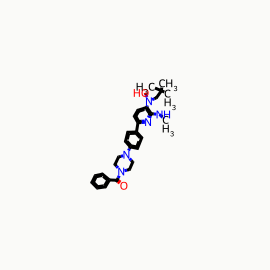 CNc1nc(-c2ccc(N3CCN(C(=O)c4ccccc4)CC3)cc2)ccc1N(O)CC(C)(C)C